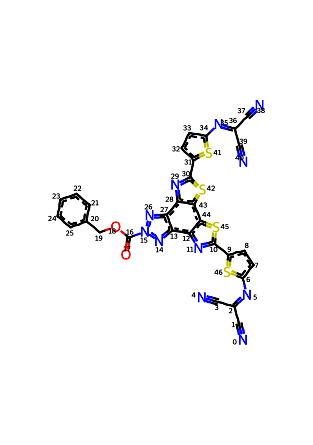 N#CC(C#N)=Nc1ccc(-c2nc3c4nn(C(=O)OCc5ccccc5)nc4c4nc(-c5ccc(N=C(C#N)C#N)s5)sc4c3s2)s1